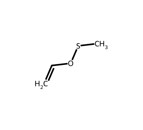 C=COSC